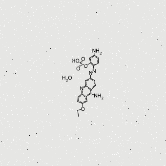 CCOc1ccc2nc3cc(N=Nc4ccc(N)cc4OS(=O)(=O)O)ccc3c(N)c2c1.O